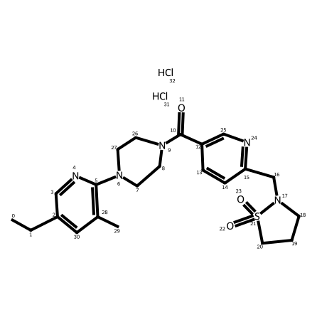 CCc1cnc(N2CCN(C(=O)c3ccc(CN4CCCS4(=O)=O)nc3)CC2)c(C)c1.Cl.Cl